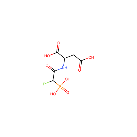 O=C(O)CC(NC(=O)C(F)P(=O)(O)O)C(=O)O